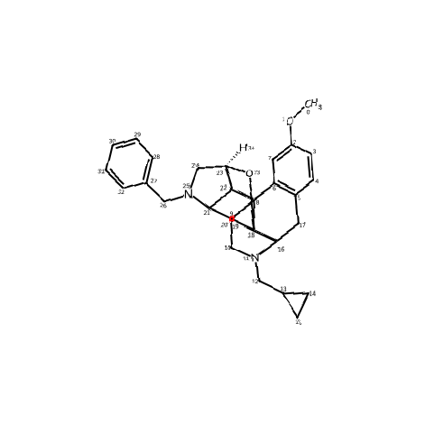 COc1ccc2c(c1)C13CCN(CC4CC4)C(C2)C12CCC1C3[C@@H](CN1Cc1ccccc1)O2